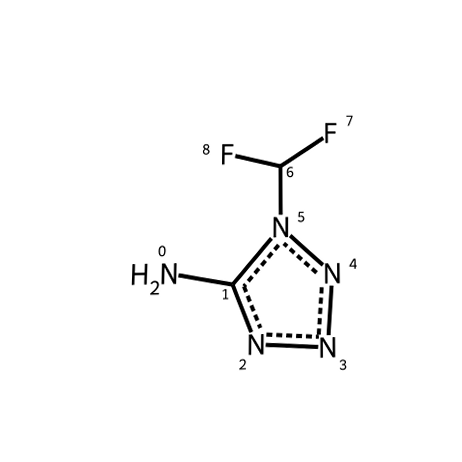 Nc1nnnn1C(F)F